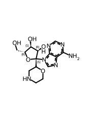 Nc1ncnc2c1ncn2[C@]1(C2CNCCO2)O[C@H](CO)[C@@H](O)[C@H]1O